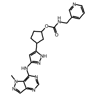 Cn1ncc2ncnc(Nc3cc(C4CCC(OC(=O)NCc5cccnc5)C4)[nH]n3)c21